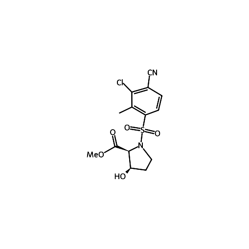 COC(=O)[C@@H]1[C@H](O)CCN1S(=O)(=O)c1ccc(C#N)c(Cl)c1C